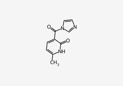 Cc1ccc(C(=O)n2ccnc2)c(=O)[nH]1